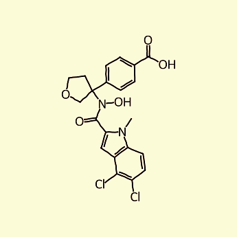 Cn1c(C(=O)N(O)C2(c3ccc(C(=O)O)cc3)CCOC2)cc2c(Cl)c(Cl)ccc21